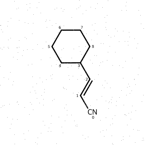 N#C/C=C/C1CCCCC1